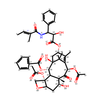 C/C=C(\C)C(=O)NC(c1ccccc1)C(O)C(=O)O[C@H]1C[C@@]2(O)[C@@H](OC(=O)c3ccccc3)C3[C@]4(OC(C)=O)COC4C[C@H](O)[C@@]3(C)C(=O)[C@H](OC(C)=O)C(=C1C)C2(C)C